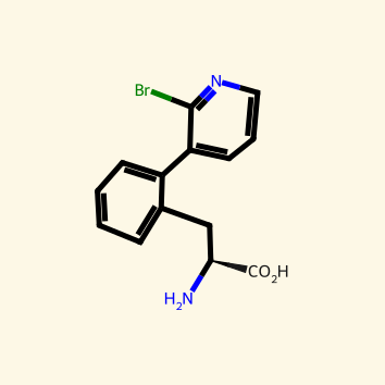 N[C@@H](Cc1ccccc1-c1cccnc1Br)C(=O)O